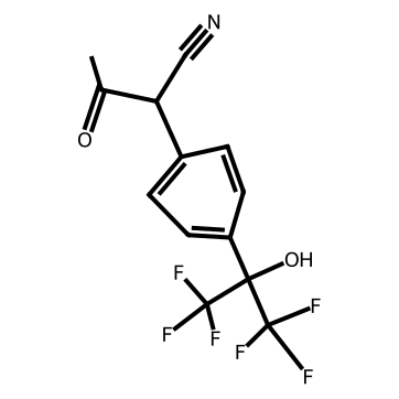 CC(=O)C(C#N)c1ccc(C(O)(C(F)(F)F)C(F)(F)F)cc1